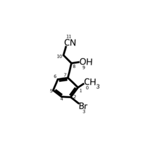 Cc1c(Br)cccc1C(O)CC#N